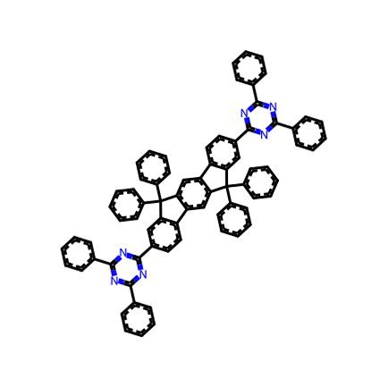 c1ccc(-c2nc(-c3ccccc3)nc(-c3ccc4c(c3)C(c3ccccc3)(c3ccccc3)c3cc5c(cc3-4)C(c3ccccc3)(c3ccccc3)c3cc(-c4nc(-c6ccccc6)nc(-c6ccccc6)n4)ccc3-5)n2)cc1